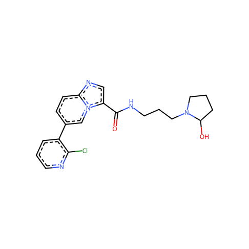 O=C(NCCCN1CCCC1O)c1cnc2ccc(-c3cccnc3Cl)cn12